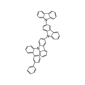 c1ccc(-c2cccc(-c3ccccc3-n3c4ccccc4c4cc(-n5c6ccccc6c6cc(-n7c8ccccc8c8ccccc87)ccc65)ccc43)c2)cc1